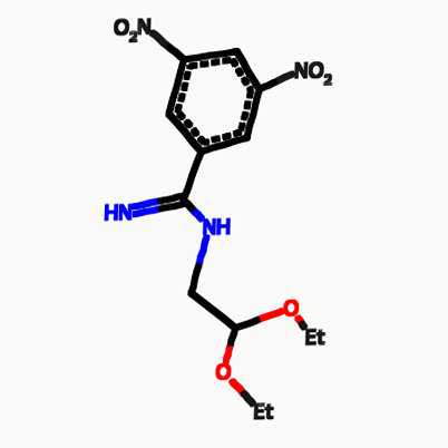 CCOC(CNC(=N)c1cc([N+](=O)[O-])cc([N+](=O)[O-])c1)OCC